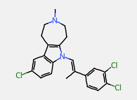 C/C(=C\n1c2c(c3cc(Cl)ccc31)CCN(C)CC2)c1ccc(Cl)c(Cl)c1